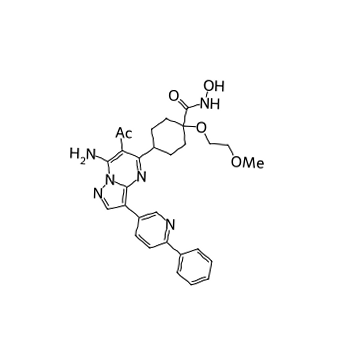 COCCOC1(C(=O)NO)CCC(c2nc3c(-c4ccc(-c5ccccc5)nc4)cnn3c(N)c2C(C)=O)CC1